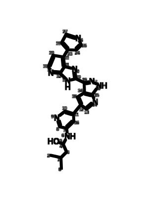 CC(C)CC(O)Nc1cncc(-c2cnc3[nH]nc(-c4nc5c(-c6ccncc6)ccnc5[nH]4)c3c2)c1